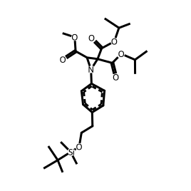 COC(=O)C1N(c2ccc(CCO[Si](C)(C)C(C)(C)C)cc2)C1(C(=O)OC(C)C)C(=O)OC(C)C